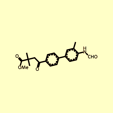 COC(=O)C(C)(C)CC(=O)c1ccc(-c2ccc(NC=O)c(C)c2)cc1